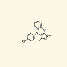 Cc1nn(C)c(Oc2ccccn2)c1Sc1ccc(Cl)cc1